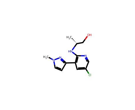 C[C@H](CO)Nc1ncc(Cl)cc1-c1ccn(C)n1